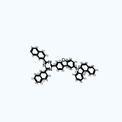 c1ccc2cc(-c3nc(-c4ccc5ccccc5c4)nc(-c4ccc5c(c4)oc4ccc(-n6c7ccccc7c7c8ccccc8ccc76)cc45)n3)ccc2c1